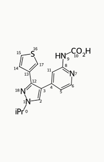 CC(C)n1cc(-c2ccnc(NC(=O)O)c2)c(-c2ccsc2)n1